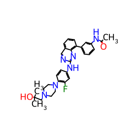 CC(=O)Nc1cccc(-c2cccc3cnc(Nc4ccc(N5CCN(CC(C)(C)O)CC5)c(F)c4)nc23)c1